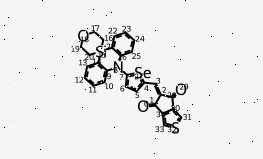 O=C1C(=Cc2ccc(N3c4ccccc4[Si]4(CCOCC4)c4ccccc43)[se]2)C(=O)c2cscc21